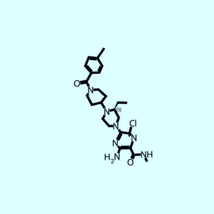 CC[C@H]1CN(c2nc(N)c(C(=O)NC)nc2Cl)CCN1C1CCN(C(=O)c2ccc(C)cc2)CC1